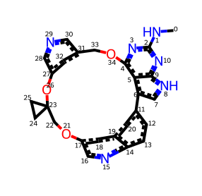 CNc1nc2c3c(c[nH]c3n1)-c1ccc3ncc(cc3c1)OCC1(CC1)Oc1cncc(c1)CO2